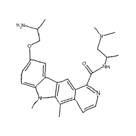 Cc1c2ccnc(C(=O)NC(C)CN(C)C)c2cc2c3cc(OCC(C)N)ccc3n(C)c12